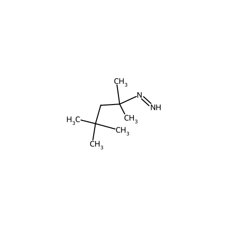 CC(C)(C)CC(C)(C)N=N